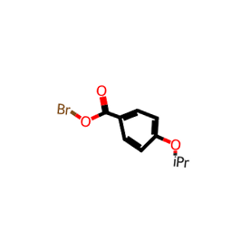 CC(C)Oc1ccc(C(=O)OBr)cc1